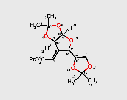 CCOC(=O)C=C1[C@H]2OC(C)(C)O[C@H]2O[C@@H]1[C@H]1COC(C)(C)O1